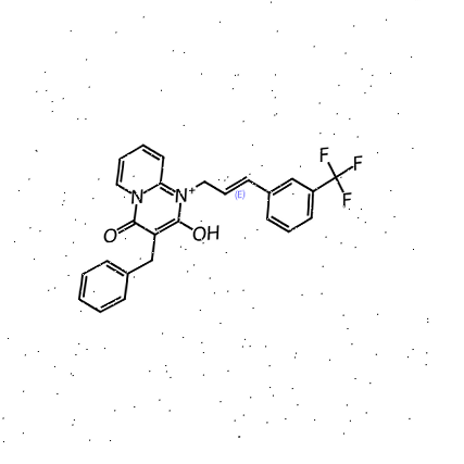 O=c1c(Cc2ccccc2)c(O)[n+](C/C=C/c2cccc(C(F)(F)F)c2)c2ccccn12